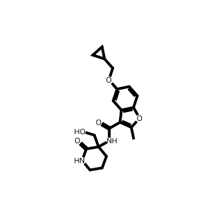 Cc1oc2ccc(OCC3CC3)cc2c1C(=O)NC1(CO)CCCNC1=O